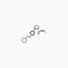 NC(=O)[C@H]1CCCN1c1ccc(SCC2CCCCC2)cc1